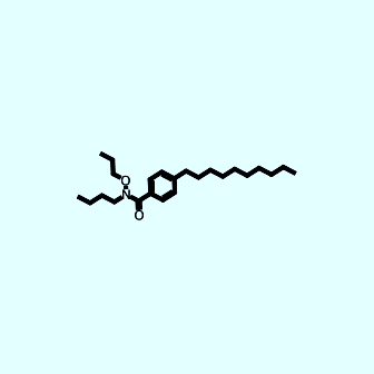 CCCCCCCCCCc1ccc(C(=O)N(CCCC)OCCC)cc1